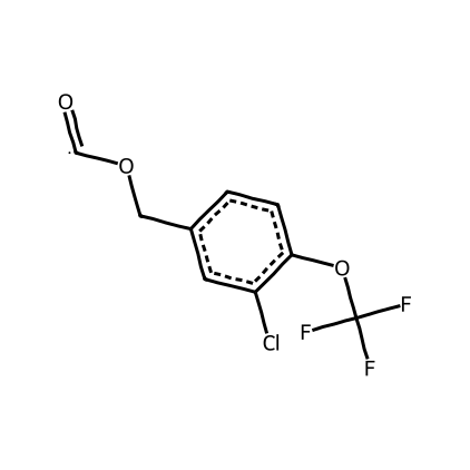 O=[C]OCc1ccc(OC(F)(F)F)c(Cl)c1